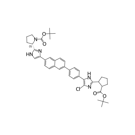 CC(C)(C)OC(=O)C1CCCC1c1nc(Cl)c(-c2ccc(-c3ccc4cc(-c5c[nH]c([C@@H]6CCCN6C(=O)OC(C)(C)C)n5)ccc4c3)cc2)[nH]1